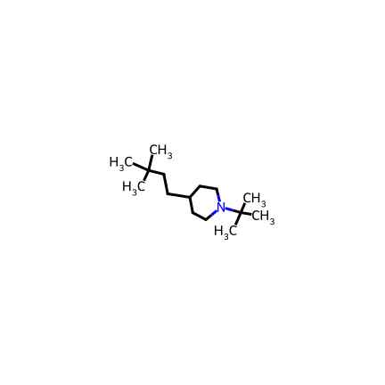 CC(C)(C)CCC1CCN(C(C)(C)C)CC1